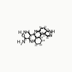 N=C(C(N)=O)/C(=C\N)c1nc2ccc3[nH]ncc3c2c2c1CCCC2